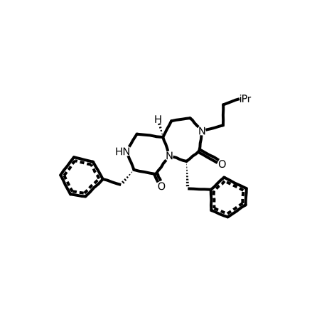 CC(C)CCN1CC[C@@H]2CN[C@@H](Cc3ccccc3)C(=O)N2[C@@H](Cc2ccccc2)C1=O